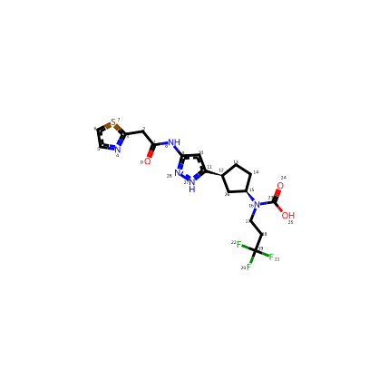 O=C(Cc1nccs1)Nc1cc([C@H]2CC[C@@H](N(CCC(F)(F)F)C(=O)O)C2)[nH]n1